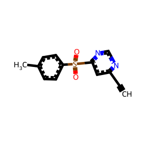 C#Cc1cc(S(=O)(=O)c2ccc(C)cc2)ncn1